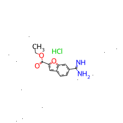 CCOC(=O)c1cc2ccc(C(=N)N)cc2o1.Cl